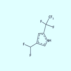 FC(F)c1c[nH]c(C(F)(F)C(F)(F)F)c1